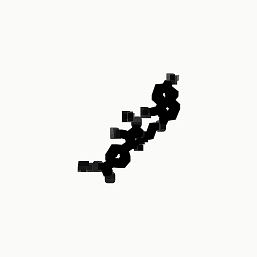 CCOc1c(Br)c(-c2ccc(C(=O)OC)cc2)nn1CCOc1ccc2cc(Br)ccc2c1Br